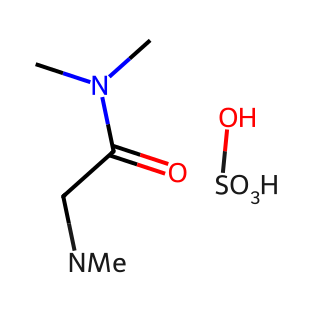 CNCC(=O)N(C)C.O=S(=O)(O)O